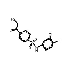 O=C(CS)c1ccc(S(=O)(=O)Nc2ccc(Cl)c(Cl)c2)cc1